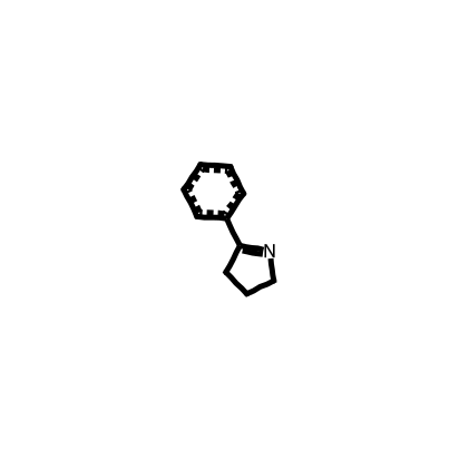 c1ccc(C2=NCCC2)cc1